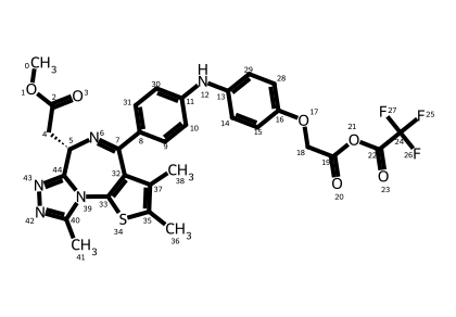 COC(=O)C[C@@H]1N=C(c2ccc(Nc3ccc(OCC(=O)OC(=O)C(F)(F)F)cc3)cc2)c2c(sc(C)c2C)-n2c(C)nnc21